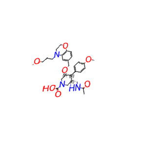 COCCCN1CCOc2ccc(CO[C@H]3CN(C(=O)O)C[C@@H](CNC(C)=O)[C@@H]3c3ccc(OC)cc3)cc21